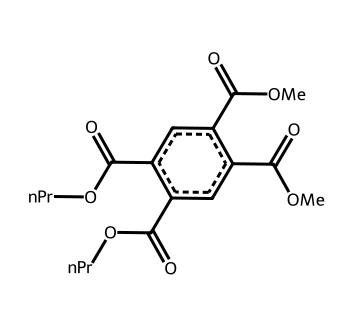 CCCOC(=O)c1cc(C(=O)OC)c(C(=O)OC)cc1C(=O)OCCC